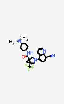 CN(C)[C@H]1CC[C@H](NC(=O)[C@@]23CN(c4ccc(C#N)c5ncccc45)C[C@]2(C(F)(F)F)C3)CC1